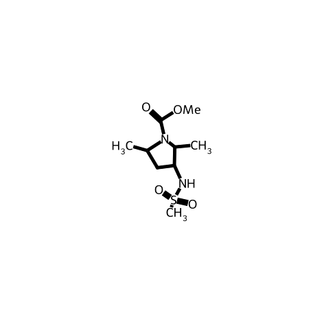 COC(=O)N1C(C)CC(NS(C)(=O)=O)C1C